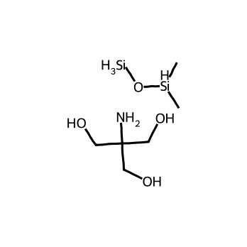 C[SiH](C)O[SiH3].NC(CO)(CO)CO